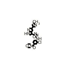 Cn1cc(-c2cnc3[nH]cc(-c4nnc(Nc5ccc(C(=O)N6CCOCC6)cc5Cl)o4)c3c2)cn1